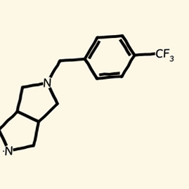 FC(F)(F)c1ccc(CN2CC3C[N]CC3C2)cc1